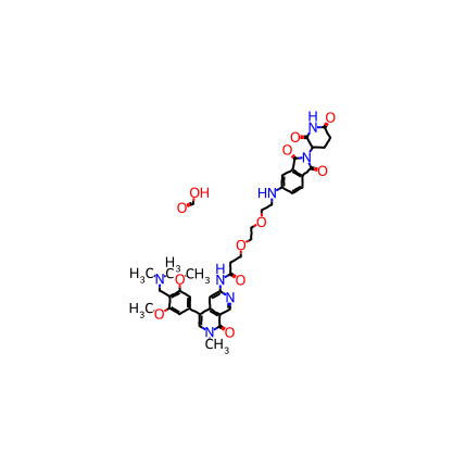 COc1cc(-c2cn(C)c(=O)c3cnc(NC(=O)CCOCCOCCNc4ccc5c(c4)C(=O)N(C4CCC(=O)NC4=O)C5=O)cc23)cc(OC)c1CN(C)C.O=CO